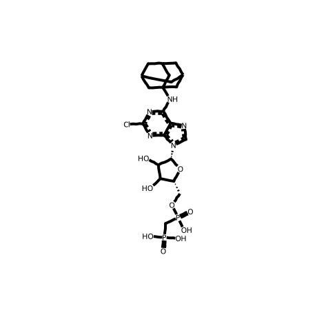 O=P(O)(O)CP(=O)(O)OC[C@H]1O[C@@H](n2cnc3c(NC45CC6CC(CC(C6)C4)C5)nc(Cl)nc32)C(O)C1O